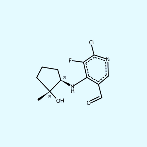 C[C@@]1(O)CCC[C@H]1Nc1c(C=O)cnc(Cl)c1F